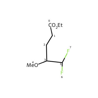 CCOC(=O)CCC(OC)C(F)F